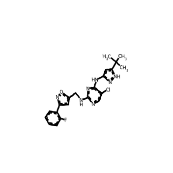 CC(C)(C)c1cc(Nc2nc(NCc3cc(-c4ccccc4F)no3)ncc2Cl)n[nH]1